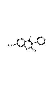 CC(=O)Oc1ccc2c(C)c(-c3ccccc3)c(=O)oc2c1